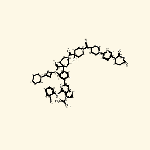 CC(C)n1cnc2cc(-c3ccc4c(c3)N(C3CC(N5CCCCC5)C3)C(=O)C43CCN(C(=O)C4(C)CCN(C(=O)C5CCN(c6ccc(C7CCC(=O)NC7=O)cn6)CC5)CC4)CC3)nc(Oc3ccccc3F)c21